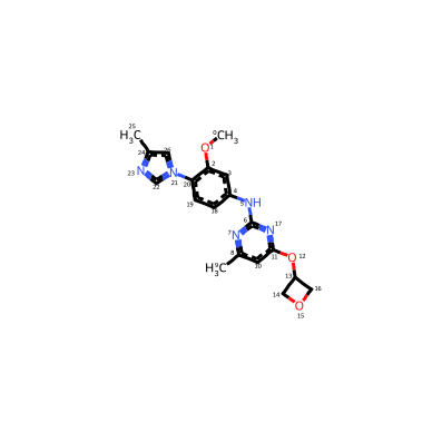 COc1cc(Nc2nc(C)cc(OC3COC3)n2)ccc1-n1cnc(C)c1